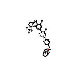 CCN1C2CCC1CN(Cc1ccc(N3C=C(F)C(c4cc(F)c5nc6n(c5c4)[C@H](C(F)(F)F)CC6)=NC3)nc1)C2